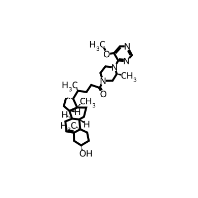 COc1cncnc1N1CCN(C(=O)CC[C@@H](C)[C@H]2CC[C@H]3[C@@H]4CC=C5C[C@@H](O)CC[C@]5(C)[C@H]4CC[C@]23C)C[C@@H]1C